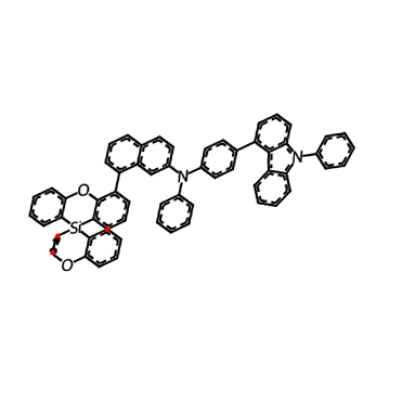 c1ccc(N(c2ccc(-c3cccc4c3c3ccccc3n4-c3ccccc3)cc2)c2ccc3cccc(-c4cccc5c4Oc4ccccc4[Si]54c5ccccc5Oc5ccccc54)c3c2)cc1